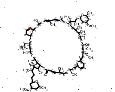 CO[C@H]1CC(CC[C@H](C)[C@H](O)[C@H](C)C2OC(=O)/C=C/C(C)=C/C[C@H](O)C[C@@H]3C=CC[C@@H](C[C@H](OC)[C@@H](C)[C@@H](O)C[C@@H](O)[C@H](C)[C@H](O)[C@@H](C)[C@H]([C@@H](C)CC[C@H]4C[C@H](OC)C[C@H](C)O4)OC(=O)/C=C/C(C)=C/C[C@H](O)C[C@@H]4C=CCC(C[C@H](CO)[C@@H](C)[C@@H](O)C[C@@H](O)[C@@H]2C)O4)O3)O[C@@H](C)C1